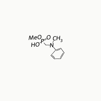 COP(=O)(O)CN(C)c1ccccc1